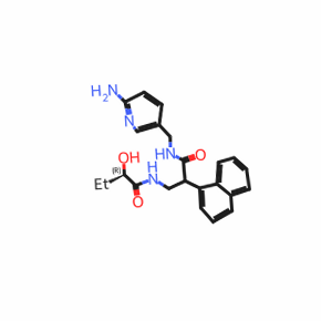 CC[C@@H](O)C(=O)NCC(C(=O)NCc1ccc(N)nc1)c1cccc2ccccc12